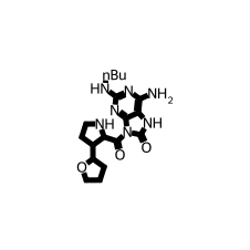 CCCCNc1nc(N)c2[nH]c(=O)n(C(=O)C3NCCC3C3CCCO3)c2n1